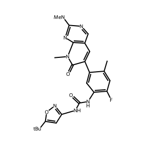 CNc1ncc2cc(-c3cc(NC(=O)Nc4cc(C(C)(C)C)on4)c(F)cc3C)c(=O)n(C)c2n1